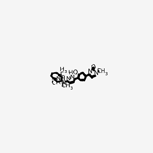 CN(c1ccc(-c2ccc(-c3ccn(C)c(=O)n3)cc2O)nn1)[C@H]1C[C@]2(C)CCC[C@](C)(C1)N2